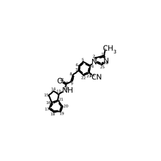 Cc1cn(-c2ccc(C=CC(=O)NC3CCc4ccccc43)cc2C#N)cn1